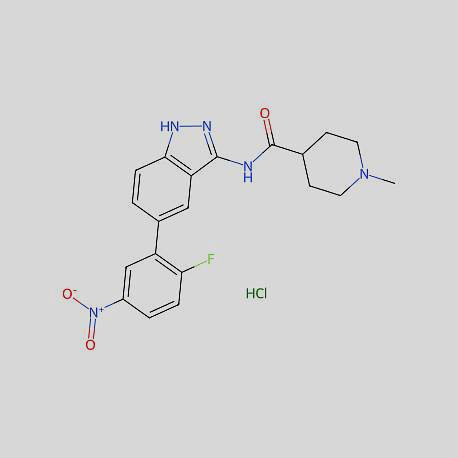 CN1CCC(C(=O)Nc2n[nH]c3ccc(-c4cc([N+](=O)[O-])ccc4F)cc23)CC1.Cl